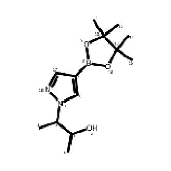 CC(O)C(C)n1cc(B2OC(C)(C)C(C)(C)O2)cn1